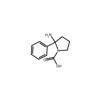 NC1(c2ccccc2)CCCN1C(=O)O